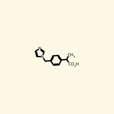 CC(C(=O)O)c1ccc(Cn2ccnc2)cc1